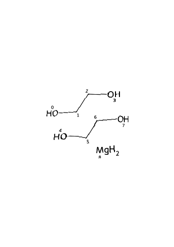 OCCO.OCCO.[MgH2]